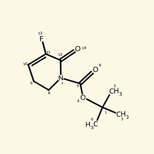 CC(C)(C)OC(=O)N1CCC=C(F)C1=O